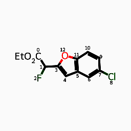 CCOC(=O)C(F)c1cc2cc(Cl)ccc2o1